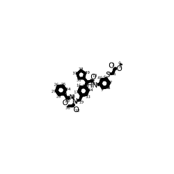 COC(=O)CSc1cccc(NC(=O)C(c2ccc(CN3N=C(c4ccccc4)OCC3=O)cc2)C2CCCC2)c1